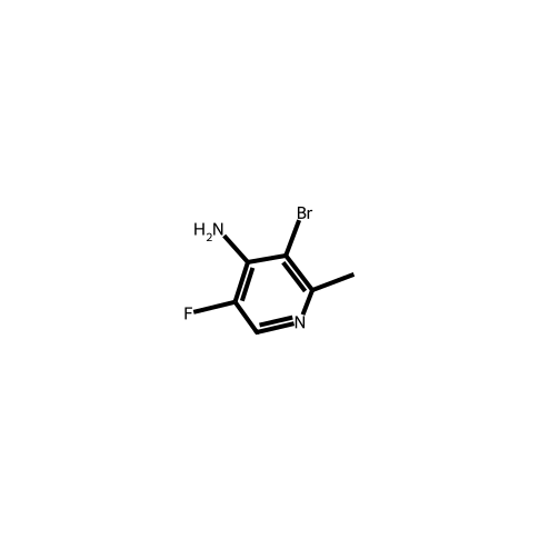 Cc1ncc(F)c(N)c1Br